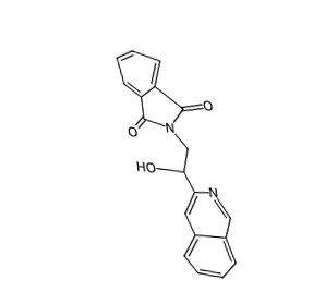 O=C1c2ccccc2C(=O)N1CC(O)c1cc2ccccc2cn1